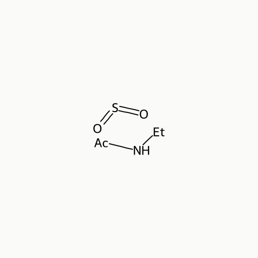 CCNC(C)=O.O=S=O